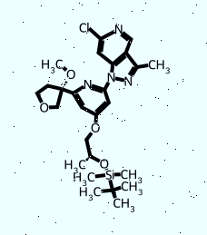 CO[C@@]1(c2cc(OC[C@@H](C)O[Si](C)(C)C(C)(C)C)cc(-n3nc(C)c4cnc(Cl)cc43)n2)CCOC1